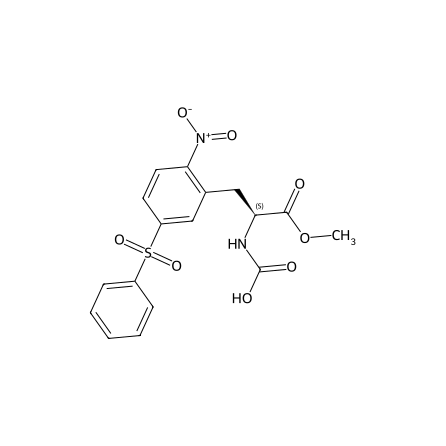 COC(=O)[C@H](Cc1cc(S(=O)(=O)c2ccccc2)ccc1[N+](=O)[O-])NC(=O)O